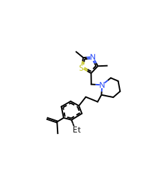 C=C(C)c1ccc(CCC2CCCCN2Cc2sc(C)nc2C)cc1CC